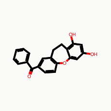 O=C(c1ccccc1)c1ccc2c(c1)CCc1c(O)cc(O)cc1O2